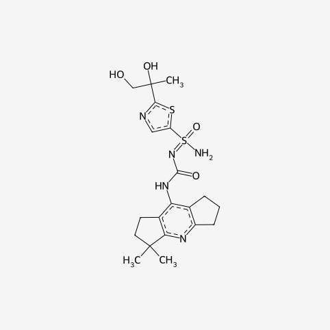 CC1(C)CCc2c1nc1c(c2NC(=O)N=S(N)(=O)c2cnc(C(C)(O)CO)s2)CCC1